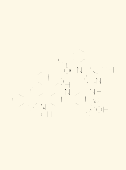 Cn1c(=O)c(C(=O)c2ccccc2)c2c3c(c(Nc4ccc(S(=O)(=O)O)c(Nc5nc(O)nc(Nc6ccccc6C(=O)O)n5)c4)ccc31)C(=O)c1ccccc1-2